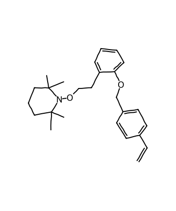 C=Cc1ccc(COc2ccccc2CCON2C(C)(C)CCCC2(C)C)cc1